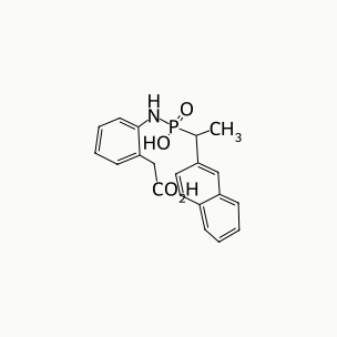 CC(c1ccc2ccccc2c1)P(=O)(O)Nc1ccccc1CC(=O)O